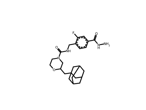 NNC(=O)c1ccc(CNC(=O)N2CCOC(CC34CC5CC(CC(C5)C3)C4)C2)c(F)c1